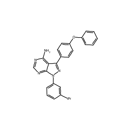 CC(C)c1cccc(-n2nc(-c3ccc(Oc4ccccc4)cc3)c3c(N)ncnc32)c1